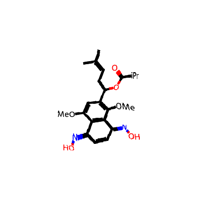 COc1cc(C(CC=C(C)C)OC(=O)C(C)C)c(OC)c2c1/C(=N/O)C=C/C2=N\O